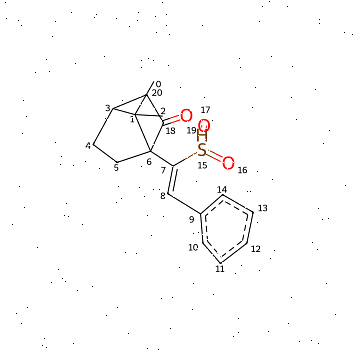 CC1(C)C2CCC1(C(=Cc1ccccc1)[SH](=O)=O)C(=O)C2